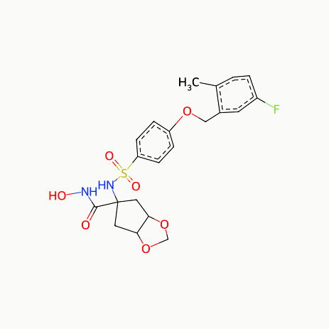 Cc1ccc(F)cc1COc1ccc(S(=O)(=O)NC2(C(=O)NO)CC3OCOC3C2)cc1